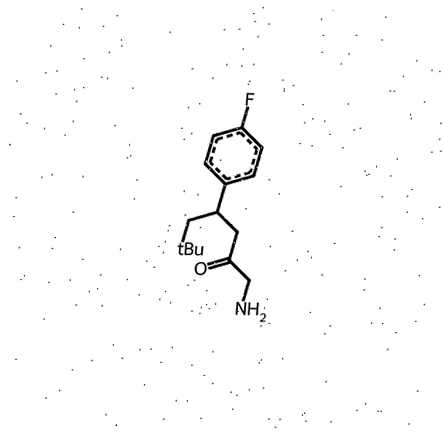 CC(C)(C)CC(CC(=O)CN)c1ccc(F)cc1